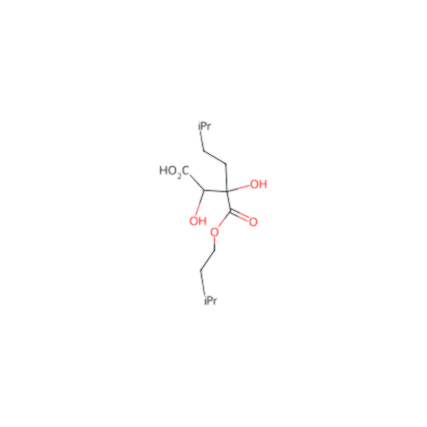 CC(C)CCOC(=O)C(O)(CCC(C)C)C(O)C(=O)O